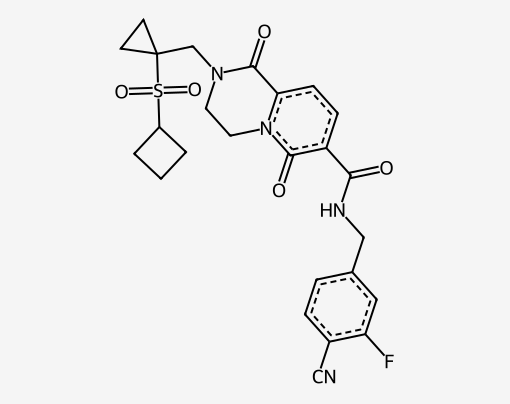 N#Cc1ccc(CNC(=O)c2ccc3n(c2=O)CCN(CC2(S(=O)(=O)C4CCC4)CC2)C3=O)cc1F